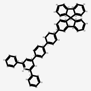 C1=C(c2ccc(-c3cc(-c4ccccc4)nc(-c4ccccc4)c3)cc2)CCC(c2ccc3c(c2)-c2ccccc2C32c3ccccc3-c3ccccc32)=C1